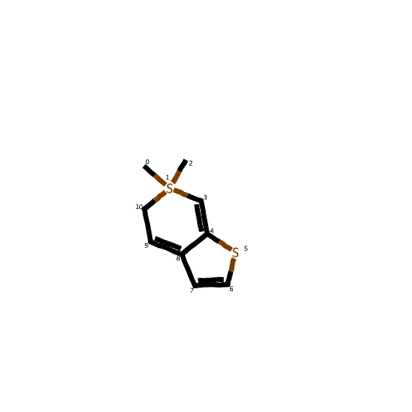 CS1(C)C=c2sccc2=CC1